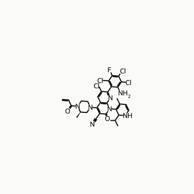 C=CC(=O)N1CCN(c2c(C#N)c(=O)n(C3=C(C)C=CNC3C(C)C)c3nc(-c4c(N)c(Cl)c(Cl)c(F)c4Cl)c(Cl)cc23)C[C@H]1C